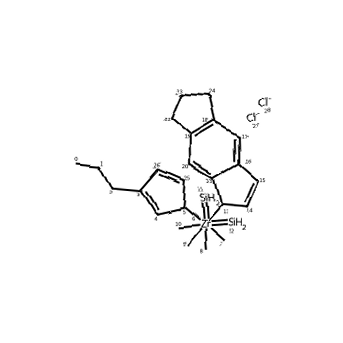 CCCC1=C[CH]([Zr]([CH3])([CH3])([CH3])([CH3])(=[SiH2])(=[SiH2])[CH]2C=Cc3cc4c(cc32)CCC4)C=C1.[Cl-].[Cl-]